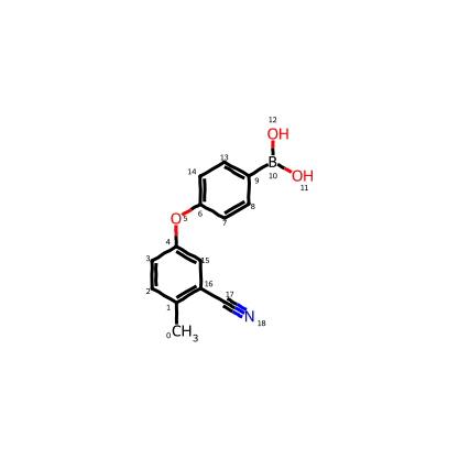 Cc1ccc(Oc2ccc(B(O)O)cc2)cc1C#N